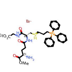 CCOC(=O)CNC(=O)[C@H](C[SH]=CCC[P+](c1ccccc1)(c1ccccc1)c1ccccc1)NC(=O)CC[C@H](N)C(=O)OC.[Br-]